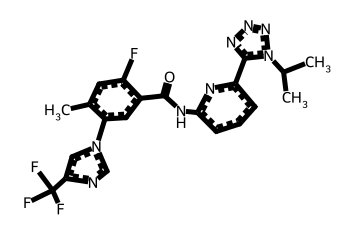 Cc1cc(F)c(C(=O)Nc2cccc(-c3nnnn3C(C)C)n2)cc1-n1cnc(C(F)(F)F)c1